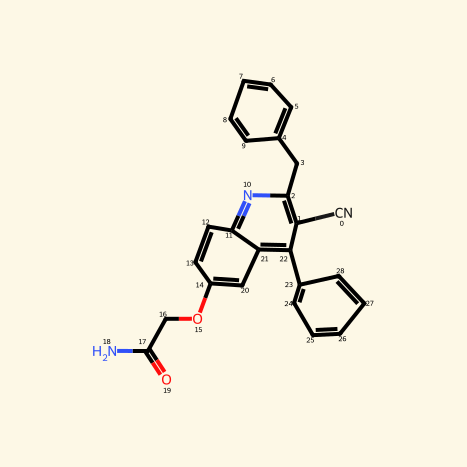 N#Cc1c(Cc2ccccc2)nc2ccc(OCC(N)=O)cc2c1-c1ccccc1